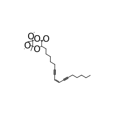 CCCCCC#C/C=C\C#CCCCCCC1OC(C)(OC)C(C)(OC)OC1=O